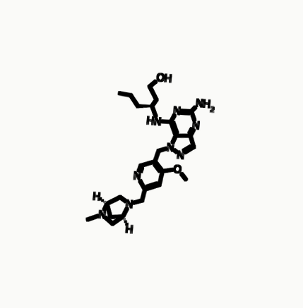 CCC[C@@H](CCO)Nc1nc(N)nc2cnn(Cc3cnc(CN4C[C@H]5C[C@@H]4CN5C)cc3OC)c12